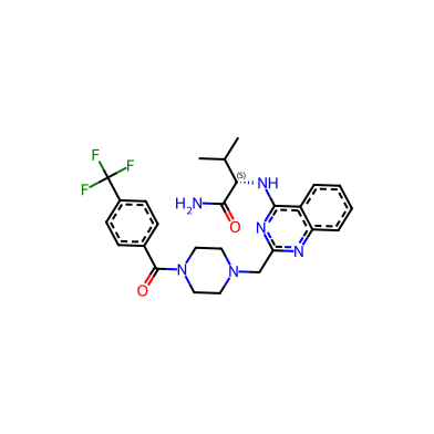 CC(C)[C@H](Nc1nc(CN2CCN(C(=O)c3ccc(C(F)(F)F)cc3)CC2)nc2ccccc12)C(N)=O